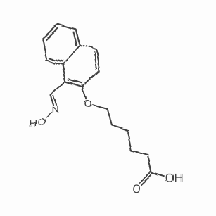 O=C(O)CCCCCOc1ccc2ccccc2c1/C=N/O